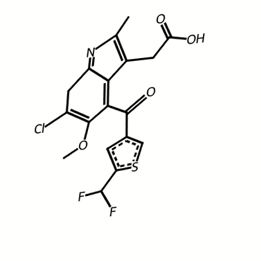 COC1=C(Cl)CC2=NC(C)=C(CC(=O)O)C2=C1C(=O)c1csc(C(F)F)c1